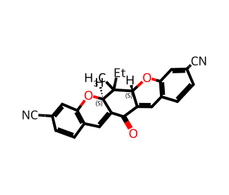 CCC1(C)[C@@H]2Oc3cc(C#N)ccc3C=C2C(=O)C2=Cc3ccc(C#N)cc3O[C@H]21